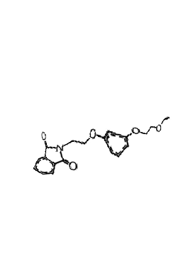 COCCOc1cccc(OCCN2C(=O)c3ccccc3C2=O)c1